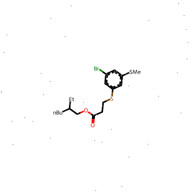 CCCCC(CC)COC(=O)CCSc1cc(Br)cc(SC)c1